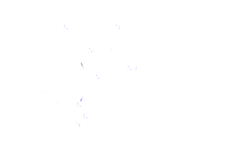 CC(C)(O)c1cnnn1[C@H]1C[C@@H](C(=O)NC2(C(O)C(N)=O)CCNCC2)N(C(=O)[C@@H](CC2CCCCC2)NC(=O)c2ccc3ccccc3c2)C1